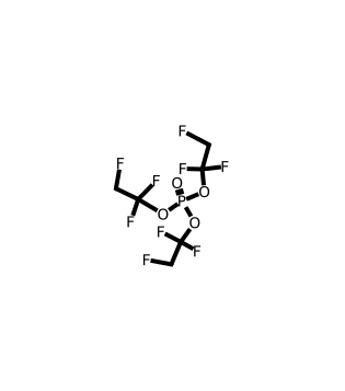 O=P(OC(F)(F)CF)(OC(F)(F)CF)OC(F)(F)CF